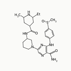 CCC1CC(C(=O)NC2CCCN(c3cnc(C(N)=O)c(Nc4ccc([S+](C)[O-])cc4)n3)C2)CC(C)N1